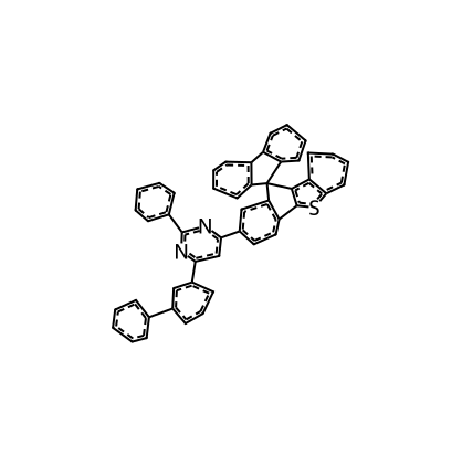 c1ccc(-c2cccc(-c3cc(-c4ccc5c(c4)C4(c6ccccc6-c6ccccc64)c4c-5sc5ccccc45)nc(-c4ccccc4)n3)c2)cc1